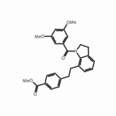 COC(=O)c1ccc(CCc2cccc3c2N(C(=O)c2cc(OC)cc(OC)c2)CC3)cc1